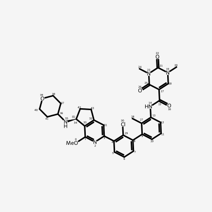 COc1nc(-c2cccc(-c3cccc(NC(=O)c4cn(C)c(=O)n(C)c4=O)c3C)c2Cl)cc2c1[C@@H](NC1CCOCC1)CC2